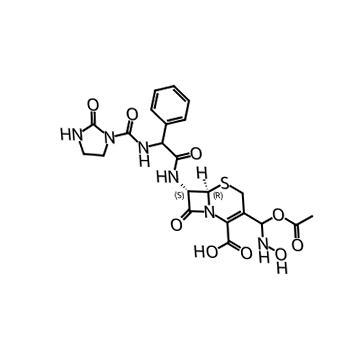 CC(=O)OC(NO)C1=C(C(=O)O)N2C(=O)[C@H](NC(=O)C(NC(=O)N3CCNC3=O)c3ccccc3)[C@H]2SC1